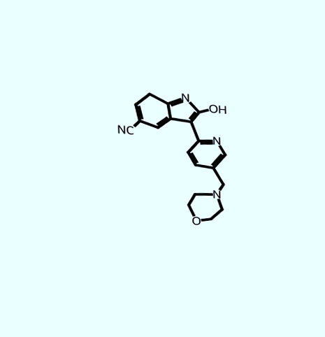 N#CC1=CCC2=NC(O)=C(c3ccc(CN4CCOCC4)cn3)C2=C1